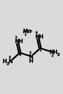 N=C(N)NC(=N)N.[Mn]